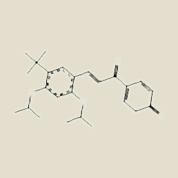 CC(C)Oc1cc(OC(C)C)c(C(C)(C)C)cc1C=CC(=O)C1=CCC(=S)C=C1